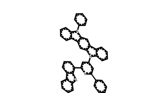 c1ccc(-c2cc(-n3c4ccccc4c4cc5c(cc43)c3ccccc3n5-c3ccccc3)cc(-c3cccc4c3sc3ccccc34)n2)cc1